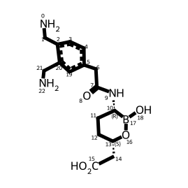 NCc1ccc(CC(=O)N[C@H]2CC[C@@H](CC(=O)O)OB2O)cc1CN